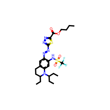 CCCCOC(=O)c1nnc(N=Nc2cc3c(cc2NS(=O)(=O)C(F)(F)F)N(C(CC)CC)C(CC)CC3)s1